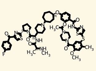 CN[C@@H](C)C(=O)N[C@H](C(=O)N1CCC[C@H]1c1nc(C(=O)c2ccc(F)cc2)cs1)C1CCN(C2CCC[C@@H](Oc3ccc(C(=O)Nc4ncc(Sc5cc(C(=O)N6CCN(C(C)=O)CC6)c(OC)cc5C)s4)cc3)CC2)CC1